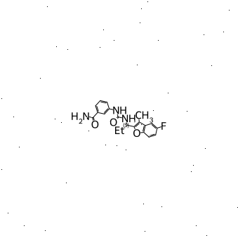 CC[C@H](NC(=O)Nc1cccc(C(N)=O)c1)c1oc2ccc(F)cc2c1C